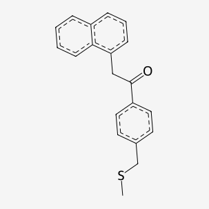 CSCc1ccc(C(=O)Cc2cccc3ccccc23)cc1